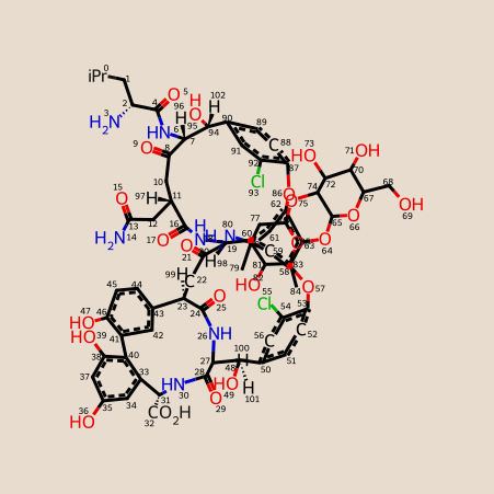 CC(C)C[C@@H](N)C(=O)N[C@H]1C(=O)C[C@@H](CC(N)=O)C(=O)N[C@H]2C(=O)C[C@H]3C(=O)N[C@H](C(=O)N[C@H](C(=O)O)c4cc(O)cc(O)c4-c4cc3ccc4O)[C@H](O)c3ccc(c(Cl)c3)Oc3cc2cc(c3OC2OC(CO)C(O)C(O)C2OC2CC(C)(N)C(O)C(C)O2)Oc2ccc(cc2Cl)[C@H]1O